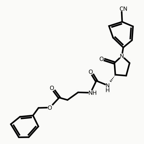 N#Cc1ccc(N2CC[C@H](NC(=O)NCCC(=O)OCc3ccccc3)C2=O)cc1